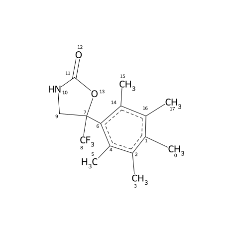 Cc1c(C)c(C)c(C2(C(F)(F)F)CNC(=O)O2)c(C)c1C